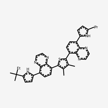 CCC(C)(C)c1ccc(-c2ccc(-c3sc(-c4ccc(-c5ccc(C(C)C)[nH]5)c5nccnc45)c(C)c3C)c3nccnc23)[nH]1